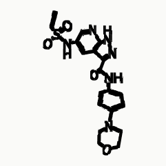 C=CS(=O)(=O)Nc1cnc2[nH]nc(C(=O)Nc3ccc(N4CCOCC4)cc3)c2c1